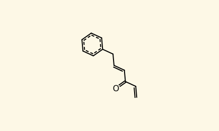 C=CC(=O)C=CCc1ccccc1